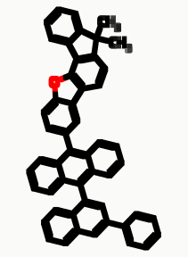 CC1(C)c2ccccc2-c2c1ccc1c2oc2ccc(-c3c4ccccc4c(-c4cc(-c5ccccc5)cc5ccccc45)c4ccccc34)cc21